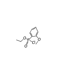 CCOP(=O)(Cl)c1ccccc1OC